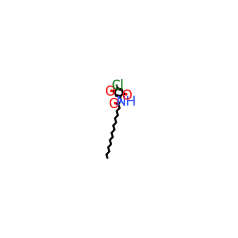 CCCCCCCCCCCCCCCC(=O)NC1=CC(=O)C(Cl)=CC1=O